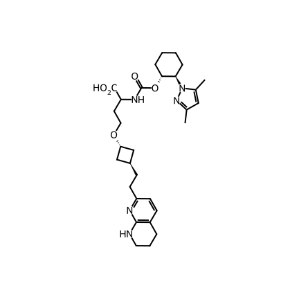 Cc1cc(C)n([C@@H]2CCCC[C@H]2OC(=O)NC(CCO[C@H]2C[C@H](CCc3ccc4c(n3)NCCC4)C2)C(=O)O)n1